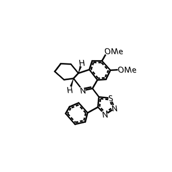 COc1cc2c(cc1OC)[C@H]1CCCC[C@H]1N=C2c1snnc1-c1ccccc1